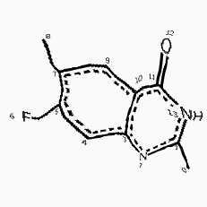 Cc1nc2cc(F)c(C)cc2c(=O)[nH]1